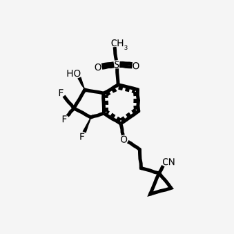 CS(=O)(=O)c1ccc(OCCC2(C#N)CC2)c2c1[C@H](O)C(F)(F)[C@@H]2F